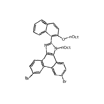 CCCCCCCCOc1ccc2ccccc2c1-c1nc2c3ccc(Br)cc3c3cc(Br)ccc3c2n1CCCCCCCC